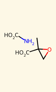 CC1(C(=O)O)CO1.NC(=O)O